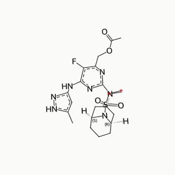 CCS(=O)(=O)N1[C@@H]2CCC[C@H]1C[C@H](N(C)c1nc(COC(C)=O)c(F)c(Nc3cc(C)[nH]n3)n1)C2